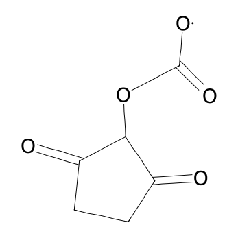 [O]C(=O)OC1C(=O)CCC1=O